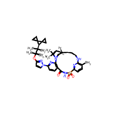 Bc1ccc2nc1NCCC[C@@H]1CN(c3nc(-n4ccc(OC(B)(B)C(B)(B)C5C6(CC6)C56CC6)n4)ccc3C(=O)NS2(=O)=O)C(C)(C)C1